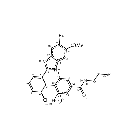 COc1cc2[nH]c(C3=CC=C[C@H](Cl)C3c3ccc(C(=O)NCCC(C)C)cc3C(=O)O)nc2cc1F